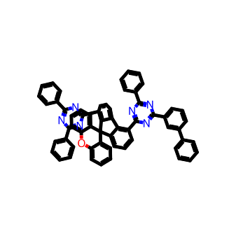 c1ccc(-c2cccc(-c3nc(-c4ccccc4)nc(-c4cccc5c4-c4cccc(-c6nc(-c7ccccc7)nc(-c7ccccc7)n6)c4C54c5ccccc5Oc5ccccc54)n3)c2)cc1